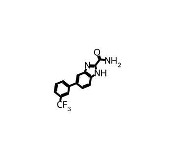 NC(=O)c1nc2cc(-c3cccc(C(F)(F)F)c3)ccc2[nH]1